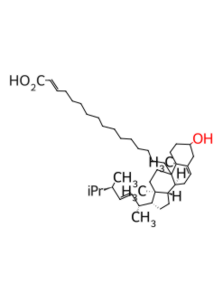 CC(C)[C@@H](C)C=C[C@@H](C)[C@H]1CC[C@H]2[C@@H]3CC=C4CC(O)CC[C@]4(C)C3(CCCCCCCCCCCCCC=CC(=O)O)CC[C@]12C